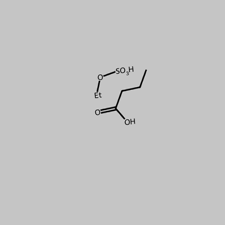 CCCC(=O)O.CCOS(=O)(=O)O